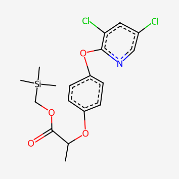 CC(Oc1ccc(Oc2ncc(Cl)cc2Cl)cc1)C(=O)OC[Si](C)(C)C